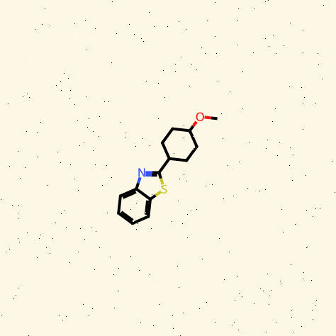 COC1CCC(c2nc3ccccc3s2)CC1